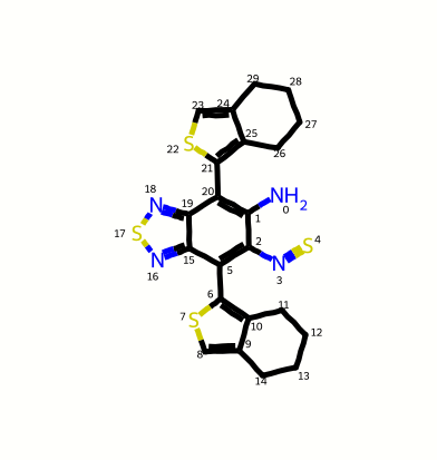 Nc1c(N=S)c(-c2scc3c2CCCC3)c2nsnc2c1-c1scc2c1CCCC2